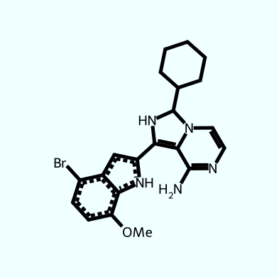 COc1ccc(Br)c2cc(C3=C4C(N)=NC=CN4C(C4CCCCC4)N3)[nH]c12